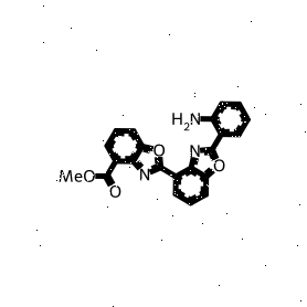 COC(=O)c1cccc2oc(-c3cccc4oc(-c5ccccc5N)nc34)nc12